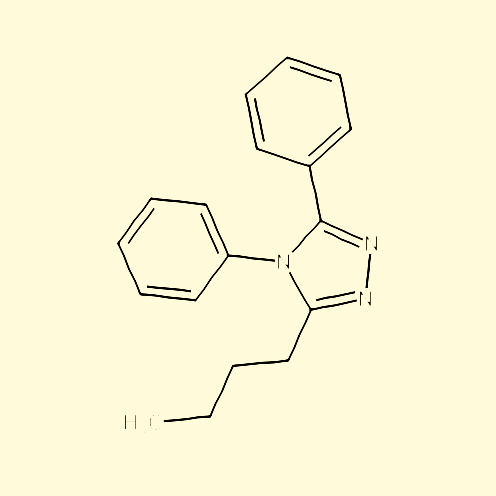 CCCCc1nnc(-c2ccccc2)n1-c1ccccc1